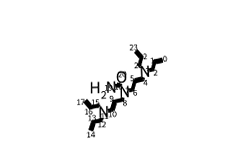 C=CCN(/C=C/CN(C/C=C/N(CC=C)CC=C)C(N)=O)CC=C